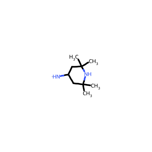 CC1(C)CC([NH])CC(C)(C)N1